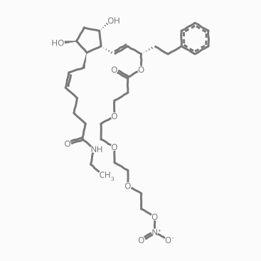 CCNC(=O)CCC/C=C\C[C@@H]1[C@@H](/C=C/[C@H](CCc2ccccc2)OC(=O)CCOCCOCCOCCO[N+](=O)[O-])[C@@H](O)C[C@@H]1O